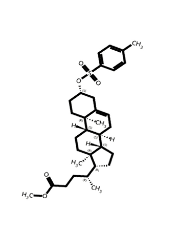 COC(=O)CC[C@@H](C)[C@H]1CC[C@H]2[C@@H]3CC=C4C[C@@H](OS(=O)(=O)c5ccc(C)cc5)CC[C@]4(C)[C@H]3CC[C@]12C